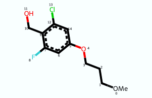 COCCCOc1cc(F)c(CO)c(Cl)c1